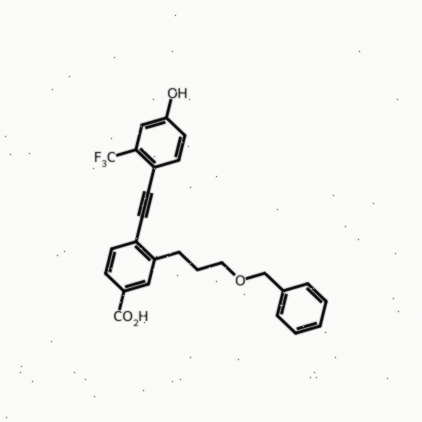 O=C(O)c1ccc(C#Cc2ccc(O)cc2C(F)(F)F)c(CCCOCc2ccccc2)c1